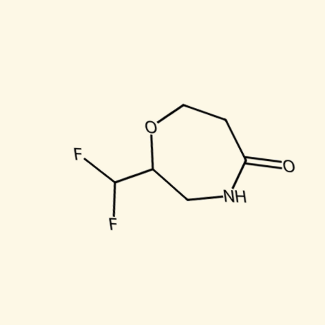 O=C1CCOC(C(F)F)CN1